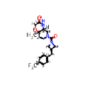 C[C@]12CCN(C(=O)N3CC(Cc4ccc(C(F)(F)F)cc4)C3)C[C@H]1NC(=O)CO2